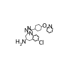 N[C@H]1Cc2cc(Cl)ccc2-n2c(nnc2C2CCC(Oc3ccccn3)CC2)C1